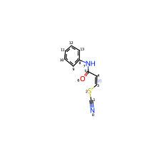 N#CS/C=C\C(=O)Nc1ccccc1